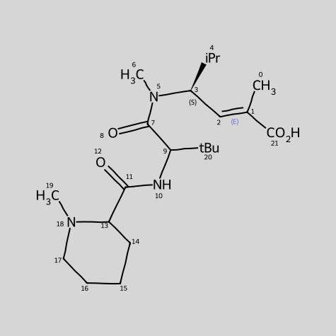 C/C(=C\[C@H](C(C)C)N(C)C(=O)C(NC(=O)C1CCCCN1C)C(C)(C)C)C(=O)O